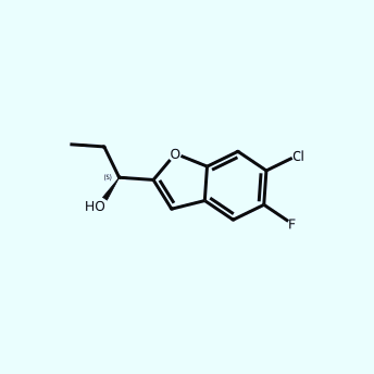 CC[C@H](O)c1cc2cc(F)c(Cl)cc2o1